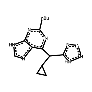 CCCCc1nc(C(c2nnn[nH]2)C2CC2)c2nc[nH]c2n1